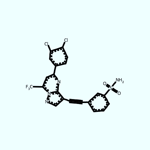 NS(=O)(=O)c1cccc(C#Cc2cnn3c(C(F)(F)F)cc(-c4ccc(Cl)c(Cl)c4)nc23)c1